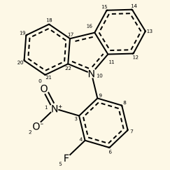 O=[N+]([O-])c1c(F)cccc1-n1c2ccccc2c2ccccc21